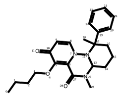 CCCCOc1c2n(ccc1=O)N1C(CCCC1(C)c1ccccc1)N(C)C2=O